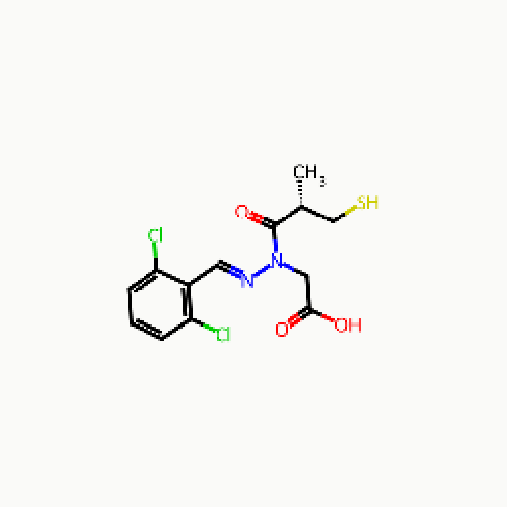 C[C@H](CS)C(=O)N(CC(=O)O)/N=C/c1c(Cl)cccc1Cl